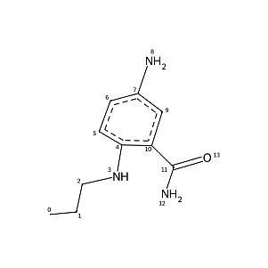 CCCNc1ccc(N)cc1C(N)=O